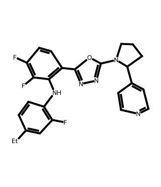 CCc1ccc(Nc2c(-c3nnc(N4CCCC4c4ccncc4)o3)ccc(F)c2F)c(F)c1